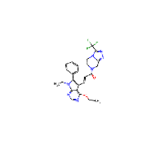 CCOc1ncnc2c1c(/C=C/C(=O)N1CCn3c(nnc3C(F)(F)F)C1)c(-c1ccccc1)n2CC